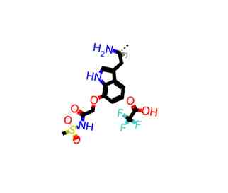 C[C@@H](N)Cc1c[nH]c2c(OCC(=O)NS(C)(=O)=O)cccc12.O=C(O)C(F)(F)F